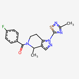 Cc1nsc(-n2ncc3c2CCN(C(=O)c2ccc(F)cc2)C3C)n1